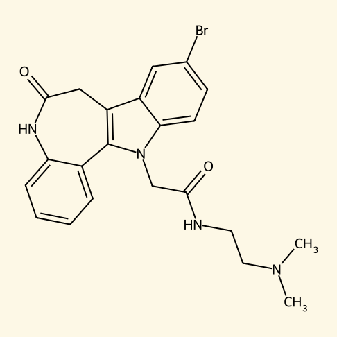 CN(C)CCNC(=O)Cn1c2c(c3cc(Br)ccc31)CC(=O)Nc1ccccc1-2